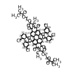 CC(C)C(=O)OCCOC(=O)C(C)N1C(=O)c2cc(Oc3cccc(Cl)c3)c3c4c(Oc5cccc(Cl)c5)cc5c6c(cc(Oc7cccc(Cl)c7)c(c7c(Oc8cccc(Cl)c8)cc(c2c37)C1=O)c64)C(=O)N(C(C)C(=O)OCCOC(=O)C(C)C)C5=O